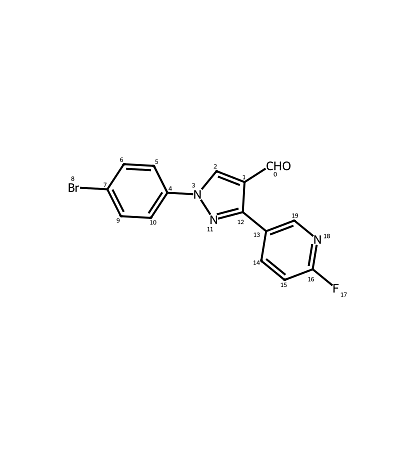 O=Cc1cn(-c2ccc(Br)cc2)nc1-c1ccc(F)nc1